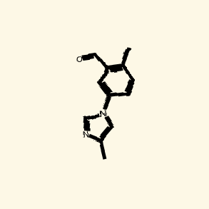 Cc1cn(-c2ccc(C)c(C=O)c2)cn1